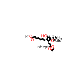 CCCCCCCC1(CC[C@@H]2[C@@H](CCCCCCC(=O)OC(C)C)[C@@H](O)C[C@H]2O[Si](C)(C)C(C)(C)C)OCCO1